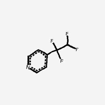 F[C](F)C(F)(F)c1ccncc1